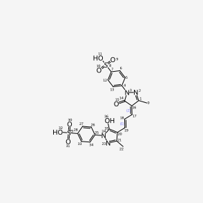 CC1=NN(c2ccc(S(=O)(=O)O)cc2)C(=O)/C1=C\C=C\c1c(C)nn(-c2ccc(S(=O)(=O)O)cc2)c1O